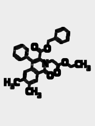 CCOC(=O)Cn1c(C(=O)OCc2ccccc2)c(-c2ccccc2)c2cc(C)c(C)cc2c1=O